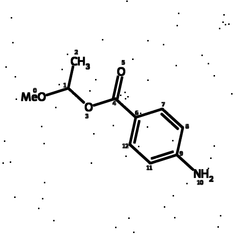 COC(C)OC(=O)c1ccc(N)cc1